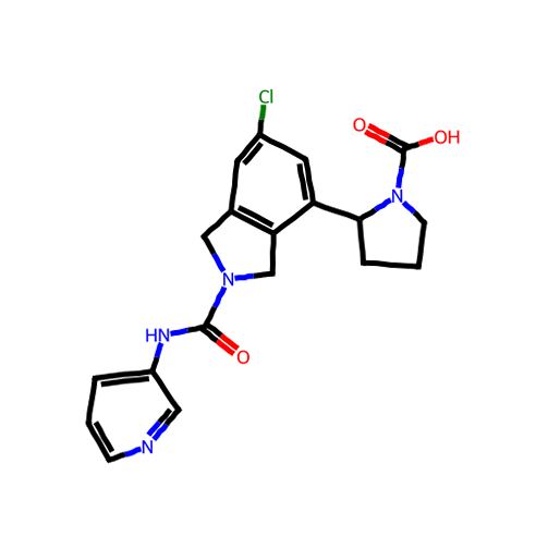 O=C(Nc1cccnc1)N1Cc2cc(Cl)cc(C3CCCN3C(=O)O)c2C1